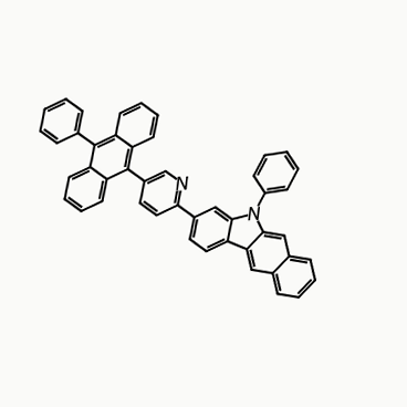 c1ccc(-c2c3ccccc3c(-c3ccc(-c4ccc5c6cc7ccccc7cc6n(-c6ccccc6)c5c4)nc3)c3ccccc23)cc1